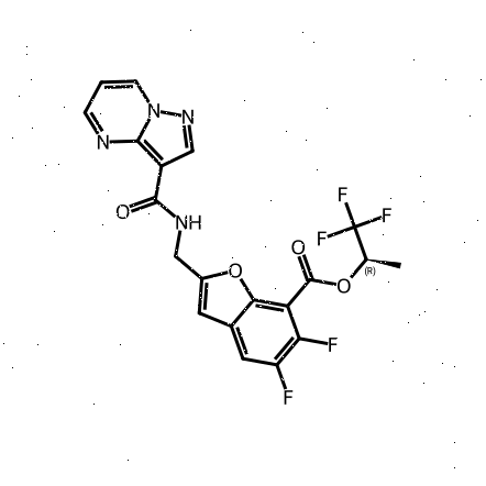 C[C@@H](OC(=O)c1c(F)c(F)cc2cc(CNC(=O)c3cnn4cccnc34)oc12)C(F)(F)F